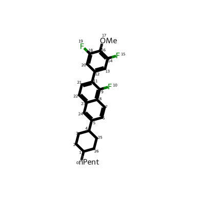 CCCCCC1CCC(c2ccc3c(F)c(-c4cc(F)c(OC)c(F)c4)ccc3c2)CC1